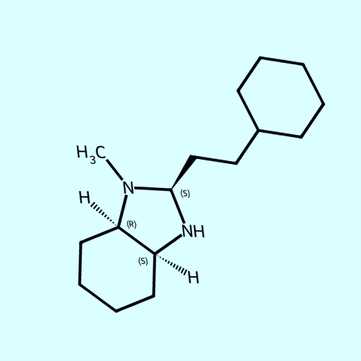 CN1[C@@H]2CCCC[C@@H]2N[C@@H]1CCC1CCCCC1